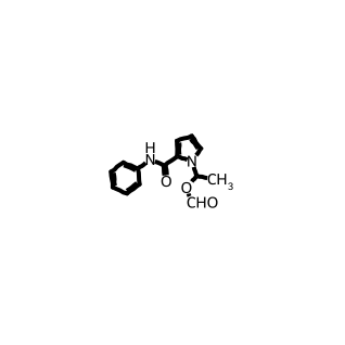 CC(OC=O)n1cccc1C(=O)Nc1ccccc1